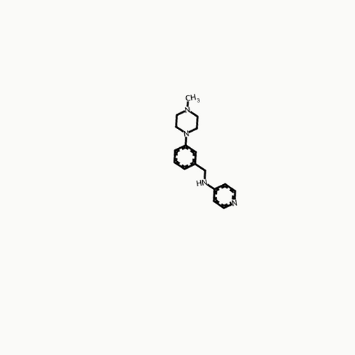 CN1CCN(c2cccc(CNc3ccncc3)c2)CC1